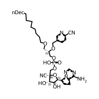 CCCCCCCCCCCCCCCCCCOC[C@@H](COP(=O)(O)OC[C@@]1(C#N)O[C@@H](c2ccc3c(N)ncnn23)[C@H](O)[C@@H]1O)OCc1ccc(C#N)nc1